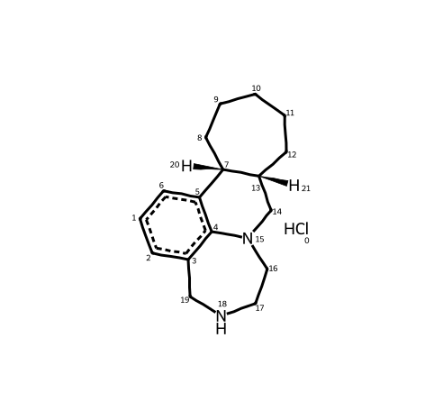 Cl.c1cc2c3c(c1)[C@@H]1CCCCC[C@@H]1CN3CCNC2